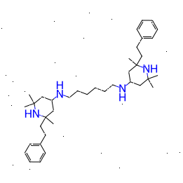 CC1(C)CC(NCCCCCCNC2CC(C)(C)NC(C)(CCc3ccccc3)C2)CC(C)(CCc2ccccc2)N1